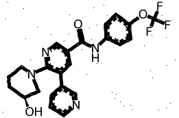 O=C(Nc1ccc(OC(F)(F)F)cc1)c1cnc(N2CCC[C@H](O)C2)c(-c2cccnc2)c1